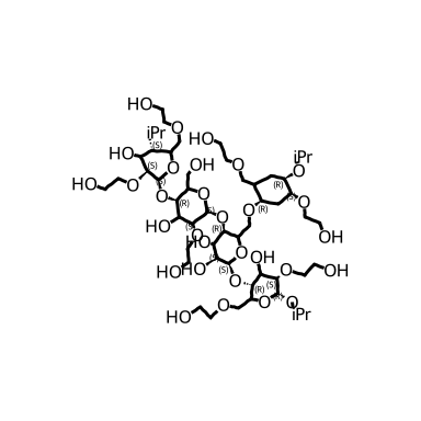 CC(C)O[C@@H]1OC(COCCO)[C@H](O[C@@H]2OC(CO[C@@H]3C[C@H](OCCO)[C@H](OC(C)C)CC3COCCO)[C@H](O[C@@H]3OC(CO)[C@H](O[C@@H]4OC(COCCO)[C@@H](C(C)C)C(O)[C@@H]4OCCO)C(O)[C@@H]3OCCO)C(O)[C@@H]2O)C(O)[C@@H]1OCCO